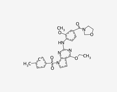 CCOc1nc(Nc2ccc(C(=O)N3CCOC3)cc2OC)nc2c1ccn2S(=O)(=O)c1ccc(C)cc1